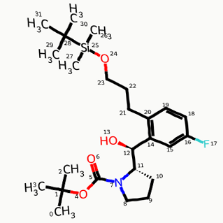 CC(C)(C)OC(=O)N1CCC[C@H]1[C@@H](O)c1cc(F)ccc1CCCO[Si](C)(C)C(C)(C)C